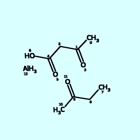 CC(=O)CC(=O)O.CCC(C)=O.[AlH3]